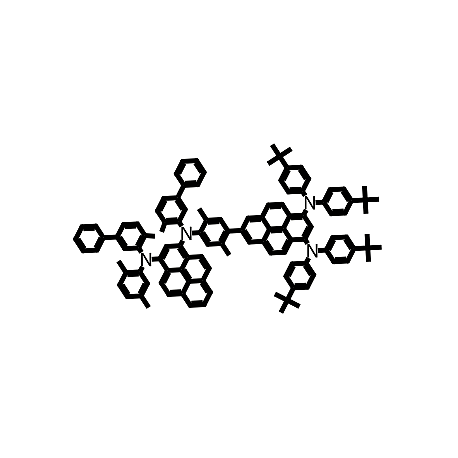 Cc1ccc(C)c(N(c2cc(-c3ccccc3)ccc2C)c2cc(N(c3cc(-c4ccccc4)ccc3C)c3cc(C)c(-c4cc5ccc6c(N(c7ccc(C(C)(C)C)cc7)c7ccc(C(C)(C)C)cc7)cc(N(c7ccc(C(C)(C)C)cc7)c7ccc(C(C)(C)C)cc7)c7ccc(c4)c5c67)cc3C)c3ccc4cccc5ccc2c3c54)c1